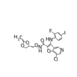 C=C1OC[C@H](CONC(=O)c2oc3c(Cl)cncc3c2Nc2ccc(I)cc2F)O1